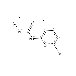 CC(C)NC(=O)Nc1cccc([N+](=O)[O-])c1